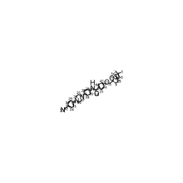 CC(C)(C)[Si](C)(C)O[C@@H](CF)COc1ccc(C(=O)Nc2ccc(N3CCN(c4ccc(C#N)cc4)CC3)cc2)cc1